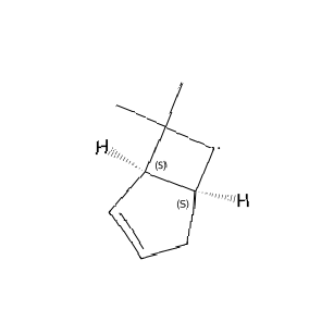 CC1(C)[CH][C@H]2CC=C[C@H]21